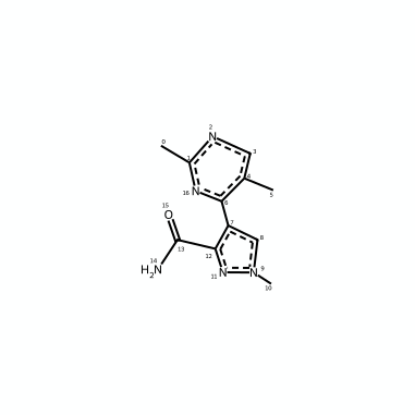 Cc1ncc(C)c(-c2cn(C)nc2C(N)=O)n1